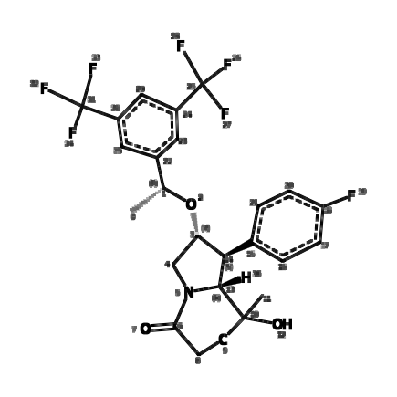 C[C@@H](O[C@H]1CN2C(=O)CCC(C)(O)[C@H]2[C@@H]1c1ccc(F)cc1)c1cc(C(F)(F)F)cc(C(F)(F)F)c1